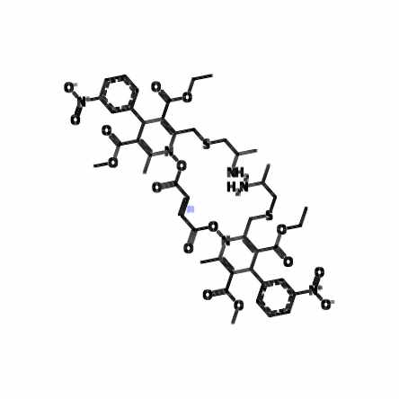 CCOC(=O)C1=C(CSCC(C)N)N(OC(=O)/C=C/C(=O)ON2C(C)=C(C(=O)OC)C(c3cccc([N+](=O)[O-])c3)C(C(=O)OCC)=C2CSCC(C)N)C(C)=C(C(=O)OC)C1c1cccc([N+](=O)[O-])c1